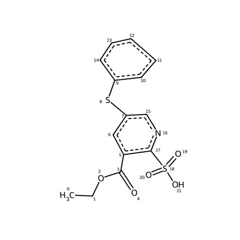 CCOC(=O)c1cc(Sc2ccccc2)cnc1S(=O)(=O)O